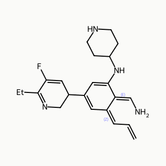 C=C/C=c1/cc(C2C=C(F)C(CC)=NC2)cc(NC2CCNCC2)/c1=C/N